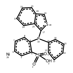 O=S(=O)(O)c1ccccc1P(c1ccccc1)c1scc2ccccc12.[Ni]